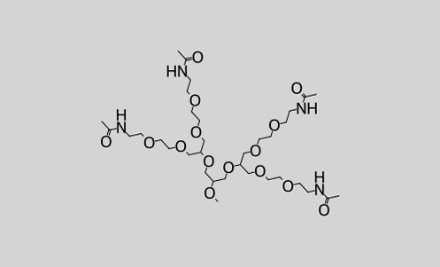 COC(COC(COCCOCCNC(C)=O)COCCOCCNC(C)=O)COC(COCCOCCNC(C)=O)COCCOCCNC(C)=O